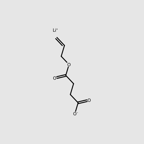 C=CCOC(=O)CCC(=O)[O-].[Li+]